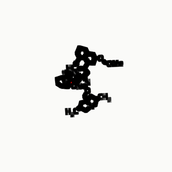 C#Cc1cccc2cc(OCOC)cc(-c3cnc4c(N5CC6CCC(C5)N6C(=O)OC(C)(C)C)nc(OCC56CC(=C)CN5CC(=C)C6)nc4c3)c12